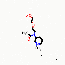 CC(=O)N(CCOCCO)C1CCCN(C)C1